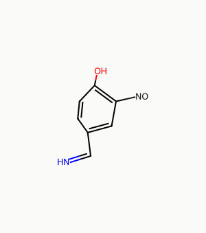 N=Cc1ccc(O)c(N=O)c1